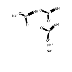 N=[N+]([O-])[O-].N=[N+]([O-])[O-].N=[N+]([O-])[O-].[Na+].[Na+].[Na+]